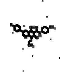 C=CCn1c(=O)c(C(=O)N[C@H]2CC[C@@H](C)CC2)c(O)c2cc(-c3ccc(F)cc3)cnc21